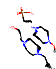 CCON1CCNCC1.CCS(=O)(=O)O.O=S(=O)(O)CCN1CCN(CCO)CC1